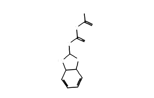 O=C(NC(=O)C(=O)O)NC1NC2C=CC=CC2S1